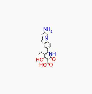 CCc1c(-c2ccc3c(c2)cc2n3CC(N)C2)[nH]c(=O)c(C(=O)O)c1O